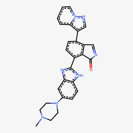 CN1CCN(c2ccc3[nH]c(-c4ccc(-c5cnn6ccccc56)c5c4C(=O)N=C5)nc3c2)CC1